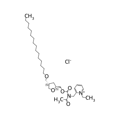 CCCCCCCCCCCCCCCCOC[C@H]1CO[C@H](COC(=O)N(Cc2cccc[n+]2CC)C(C)=O)C1.[Cl-]